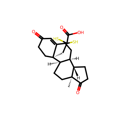 C[C@]12CC[C@@H]3[C@@H](CCC4=CC(=O)CC[C@@]43CC(S)(S)C(=O)O)[C@@H]1CCC2=O